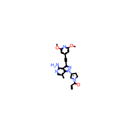 C=CC(=O)N1CC[C@H](n2nc(C#Cc3cc(OC)nc(OC)c3)c3c(N)ncc(C)c32)C1